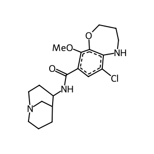 COc1c(C(=O)NC2CCN3CCCC2C3)cc(Cl)c2c1OCCCN2